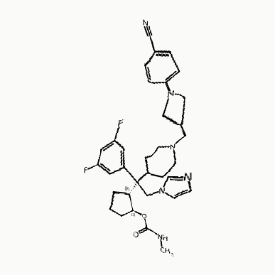 CNC(=O)O[C@H]1CCC[C@@H]1C(Cn1ccnc1)(c1cc(F)cc(F)c1)C1CCN(CC2CN(c3ccc(C#N)cc3)C2)CC1